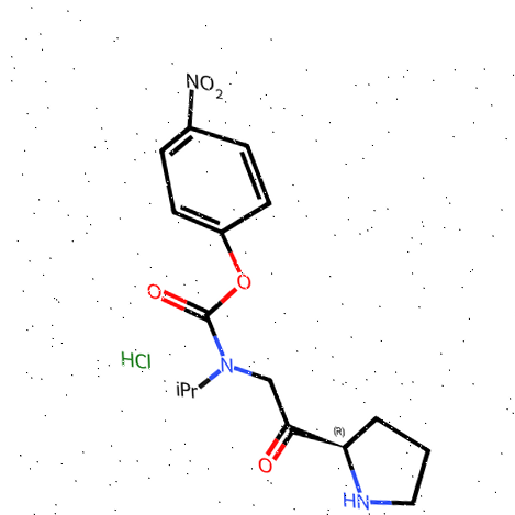 CC(C)N(CC(=O)[C@H]1CCCN1)C(=O)Oc1ccc([N+](=O)[O-])cc1.Cl